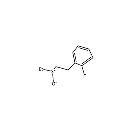 CC[S+]([O-])CCc1ccccc1F